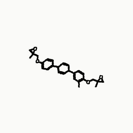 Cc1cc(C2C=CC(c3ccc(OCC4(C)CO4)cc3)C=C2)ccc1OCC1(C)CO1